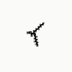 CCCCCCCCSC(SCCCCCCCC)C(C)O